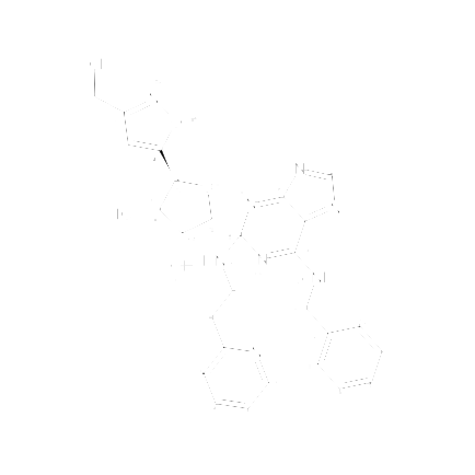 CCc1cc([C@H]2O[C@H](C3(NCCc4ccccn4)N=C4N=CN=C4C(NCc4ccccc4)=N3)[C@H](O)[C@@H]2O)on1